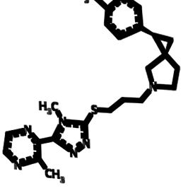 Cc1ccc([C@H]2C[C@]23CCN(CCCSc2nnc(-c4nccnc4C)n2C)C3)cc1